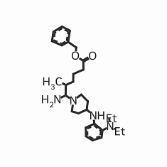 CCN(CC)c1ccccc1NC1CCN(C(N)C(C)CCCC(=O)OCc2ccccc2)CC1